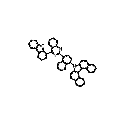 c1ccc2c(c1)ccc1c2c2c3ccccc3ccc2n1-c1ccc(-c2nc(-c3cccc4c3oc3ccccc34)c3ccccc3n2)c2ccccc12